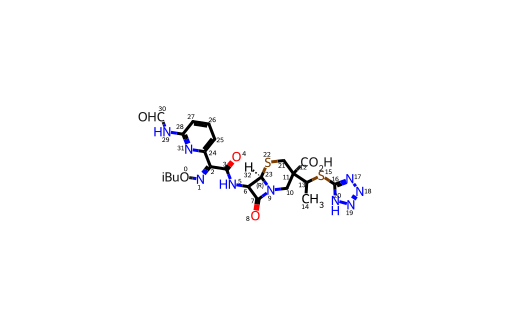 CC(C)CON=C(C(=O)NC1C(=O)N2CC(C(=O)O)(C(C)Sc3nnn[nH]3)CS[C@H]12)c1cccc(NC=O)n1